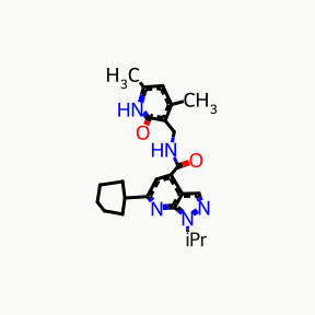 Cc1cc(C)c(CNC(=O)c2cc(C3CCCCC3)nc3c2cnn3C(C)C)c(=O)[nH]1